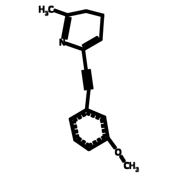 COc1cccc(C#CC2=CCCC(C)=N2)c1